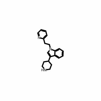 c1ccc(CCn2cc(C3CCNCC3)c3ccccc32)nc1